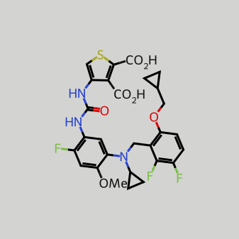 COc1cc(F)c(NC(=O)Nc2csc(C(=O)O)c2C(=O)O)cc1N(Cc1c(OCC2CC2)ccc(F)c1F)C1CC1